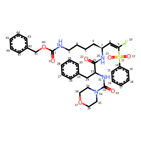 O=C(NCCCC[C@@H](/C=C(/F)S(=O)(=O)c1ccccc1)NC(=O)C(Cc1ccccc1)NC(=O)N1CCOCC1)OCc1ccccc1